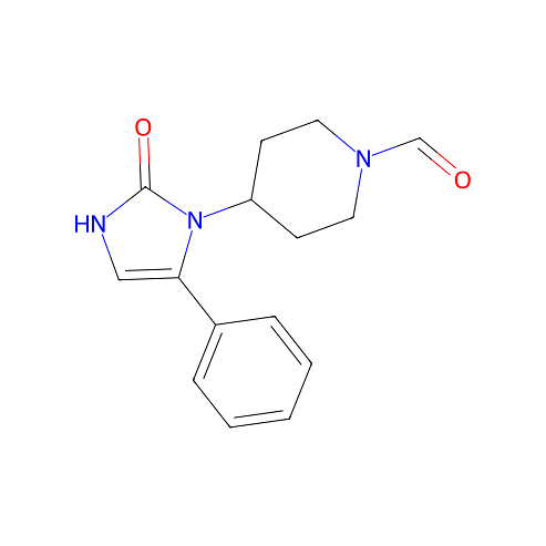 O=CN1CCC(n2c(-c3ccccc3)c[nH]c2=O)CC1